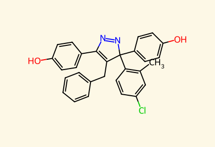 Cc1cc(Cl)ccc1C1(c2ccc(O)cc2)N=NC(c2ccc(O)cc2)=C1Cc1ccccc1